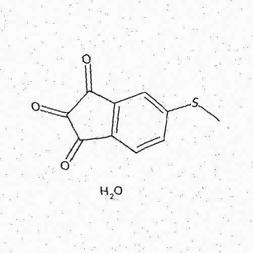 CSc1ccc2c(=O)c(=O)c(=O)c2c1.O